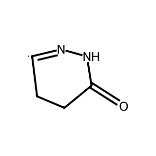 O=C1CC[C]=NN1